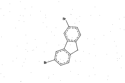 Brc1ccc2c(c1)-c1cc(Br)ccc1[CH]2